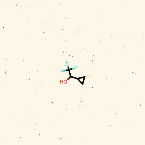 OC(C1CC1)C(F)(F)F